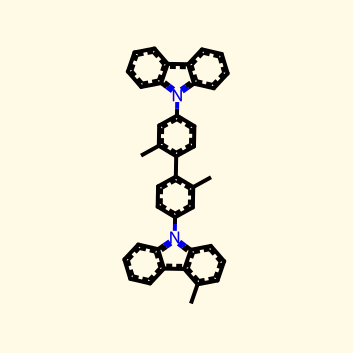 Cc1cc(-n2c3ccccc3c3ccccc32)ccc1-c1ccc(-n2c3ccccc3c3c(C)cccc32)cc1C